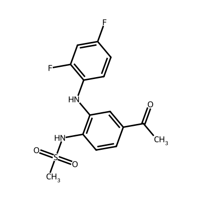 CC(=O)c1ccc(NS(C)(=O)=O)c(Nc2ccc(F)cc2F)c1